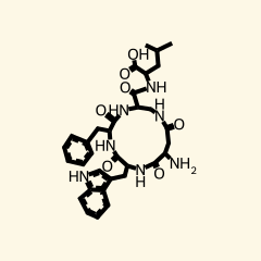 CC(C)CC(NC(=O)C1CNC(=O)CC(N)C(=O)NC(Cc2c[nH]c3ccccc23)C(=O)NC(Cc2ccccc2)C(=O)N1)C(=O)O